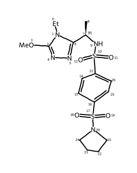 CCn1c(OC)nnc1[C@@H](C)NS(=O)(=O)c1ccc(S(=O)(=O)N2CCCC2)cc1